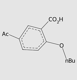 CCCCOc1ccc(C(C)=O)cc1C(=O)O